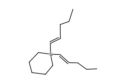 CCCC=C[Si]1(C=CCCC)CCCCC1